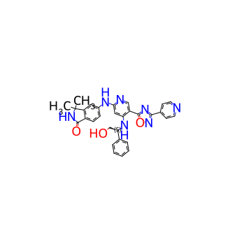 CC1(C)NC(=O)c2ccc(Nc3cc(N[C@H](CO)c4ccccc4)c(-c4nc(-c5ccncc5)no4)cn3)cc21